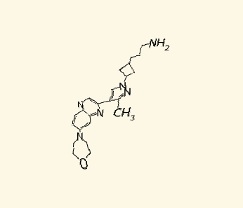 Cc1nn(C2CC(CCCN)C2)cc1-c1cnc2ccc(N3CCOCC3)cc2n1